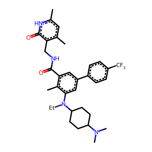 CCN(c1cc(-c2ccc(C(F)(F)F)cc2)cc(C(=O)NCc2c(C)cc(C)[nH]c2=O)c1C)C1CCC(N(C)C)CC1